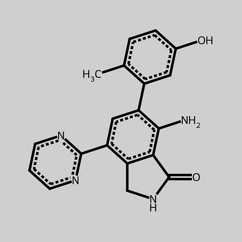 Cc1ccc(O)cc1-c1cc(-c2ncccn2)c2c(c1N)C(=O)NC2